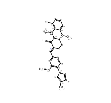 COc1cc(/C=C2\CCCN([C@@H](C)c3c(F)cccc3OC)C2=O)ccc1-n1cnc(C)c1